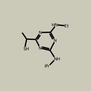 CCNc1nc(NC(C)C)nc(C(C)S)n1